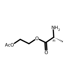 CC(=O)OCCOC(=O)[C@@H](C)N